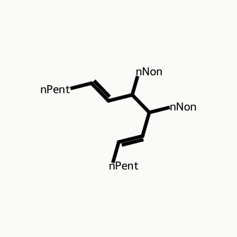 [CH2]CCCCC=CC(CCCCCCCCC)C(C=CCCCC[CH2])CCCCCCCCC